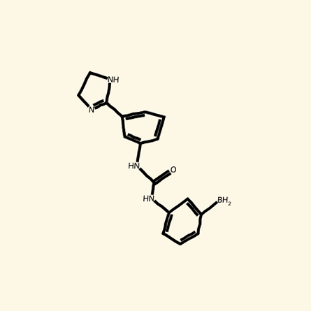 Bc1cccc(NC(=O)Nc2cccc(C3=NCCN3)c2)c1